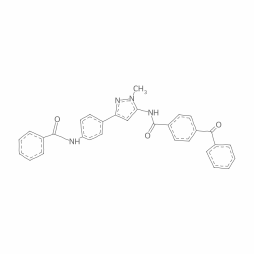 Cn1nc(-c2ccc(NC(=O)c3ccccc3)cc2)cc1NC(=O)c1ccc(C(=O)c2ccccc2)cc1